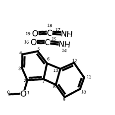 COc1cccc2c1-c1ccccc1-2.N=C=O.N=C=O